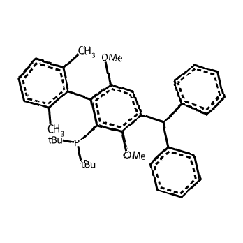 COc1cc(C(c2ccccc2)c2ccccc2)c(OC)c(P(C(C)(C)C)C(C)(C)C)c1-c1c(C)cccc1C